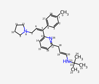 Cc1ccc(C(=CCN2CCCC2)c2cccc(CC=CNC(C)(C)C)n2)cc1